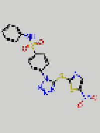 O=[N+]([O-])c1cnc(Sc2nnnn2-c2ccc(S(=O)(=O)Nc3ccccc3)cc2)s1